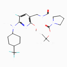 COc1nc(N(C)C2CCC(C(F)(F)F)CC2)c(F)cc1CNC(=O)[C@@H]1CCCN1C(=O)OC(C)(C)C